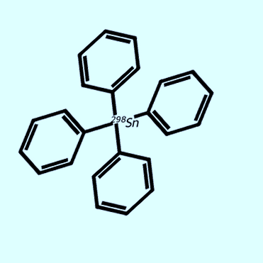 c1cc[c]([298Sn]([c]2ccccc2)([c]2ccccc2)[c]2ccccc2)cc1